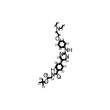 CCN(CC)CCOc1ccc(Nc2ncc(-c3ccc(C(=O)NCC(=O)OC(C)(C)C)cc3)cn2)cc1